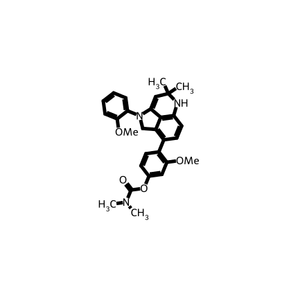 COc1cc(OC(=O)N(C)C)ccc1-c1ccc2c3c1CN(c1ccccc1OC)C3=CC(C)(C)N2